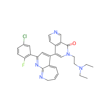 CCN(CC)CCn1cc(-c2cc(-c3cc(Cl)ccc3F)nc3c2=CC=CCN=3)c2ccncc2c1=O